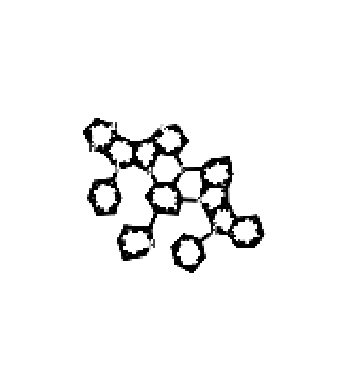 c1ccc(-n2c3ccccc3c3c4cccc5c4n(c32)-c2cc(-c3ccccn3)cc3c2B5c2ccnc4c5c6nccnc6n(-c6ccccc6)c5n-3c24)cc1